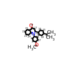 COc1ccc(-n2c(-c3ccc(C(C)C)cc3)cc(=O)c3ccccc32)cc1